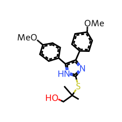 COc1ccc(-c2nc(SC(C)(C)CO)[nH]c2-c2ccc(OC)cc2)cc1